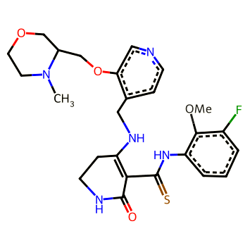 COc1c(F)cccc1NC(=S)C1=C(NCc2ccncc2OCC2COCCN2C)CCNC1=O